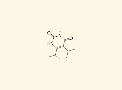 CC(C)c1[nH]c(=O)[nH]c(=O)c1C(C)C